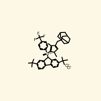 [CH2]=[Zr+2]([C]1=C(C)C(CC23CC4CC(CC(C4)C2)C3)=CC1C)([c]1ccc(C(F)(F)F)cc1)[CH]1c2cc(C(C)(C)C)ccc2-c2ccc(C(C)(C)C)cc21.[Cl-].[Cl-]